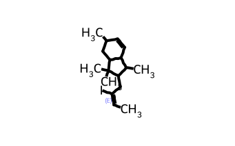 C/C=C(/I)CC1C(C)C2C=CC(C)CC2C1(C)C